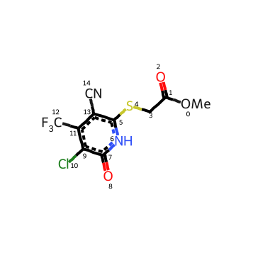 COC(=O)CSc1[nH]c(=O)c(Cl)c(C(F)(F)F)c1C#N